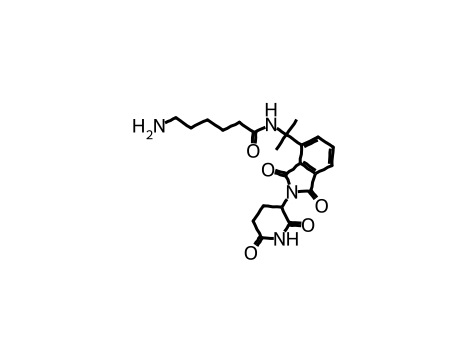 CC(C)(NC(=O)CCCCCN)c1cccc2c1C(=O)N(C1CCC(=O)NC1=O)C2=O